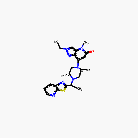 CC[C@H]1CN(C(C)c2nc3cccnc3s2)[C@H](CC)CN1c1cc(=O)n(C)c2cn(CC#N)nc12